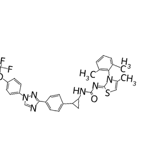 Cc1cccc(C)c1-n1c(C)cs/c1=N\C(=O)NC1CC1c1ccc(-c2ncn(-c3ccc(OC(F)(F)F)cc3)n2)cc1